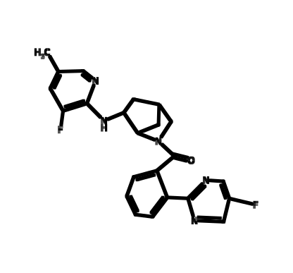 Cc1cnc(NC2CC3CC2N(C(=O)c2ccccc2-c2ncc(F)cn2)C3)c(F)c1